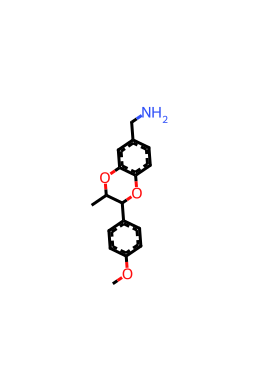 COc1ccc(C2Oc3ccc(CN)cc3OC2C)cc1